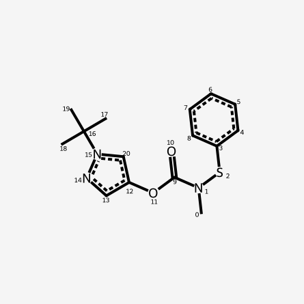 CN(Sc1ccccc1)C(=O)Oc1cnn(C(C)(C)C)c1